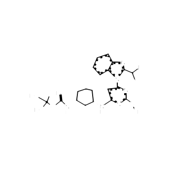 CSc1nc(N[C@H]2CCC[C@@H](NC(=O)OC(C)(C)C)C2)cc(-n2c(C(F)F)nc3ccccc32)n1